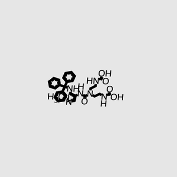 Cn1ncc(NC(=O)N(CCNC(=O)O)CCNC(=O)O)c1NC(c1ccccc1)(c1ccccc1)c1ccccc1